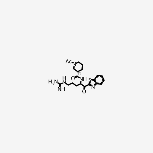 CC(=O)N1CCC[C@H](C(=O)NC(CCCNC(=N)N)C(=O)c2nc3ccccc3s2)C1